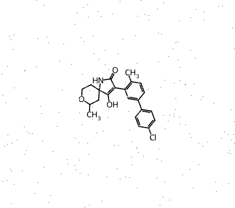 Cc1ccc(-c2ccc(Cl)cc2)cc1C1=C(O)C2(CCOC(C)C2)NC1=O